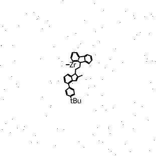 CC1=Cc2c(-c3ccc(C(C)(C)C)cc3)cccc2C1CCC1c2ccccc2-c2ccc[c]([Zr]([CH3])[CH3])c21